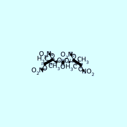 CC(C)(CO[N+](=O)[O-])[C@H](COC(=O)OC[C@H](O[N+](=O)[O-])C(C)(C)CO[N+](=O)[O-])O[N+](=O)[O-]